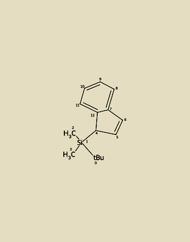 CC(C)(C)[Si](C)(C)C1C=Cc2ccccc21